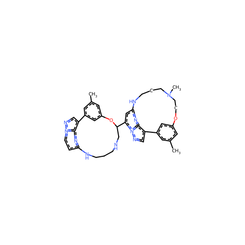 Cc1cc2cc(c1)-c1cnn3ccc(nc13)NCCCNCC(c1cc3nc4c(cnn14)-c1cc(C)cc(c1)OCCN(C)CCCN3)O2